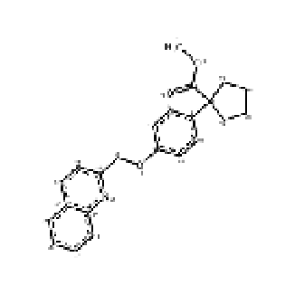 COC(=O)C1(c2ccc(OCc3ccc4ccccc4n3)cc2)CCCC1